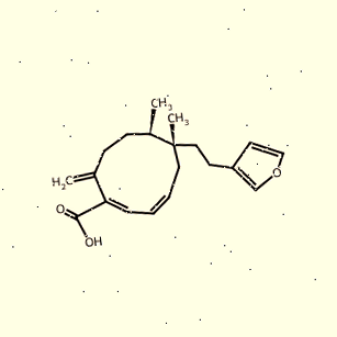 C=C1CC[C@@H](C)[C@](C)(CCc2ccoc2)C/C=C\C=C/1C(=O)O